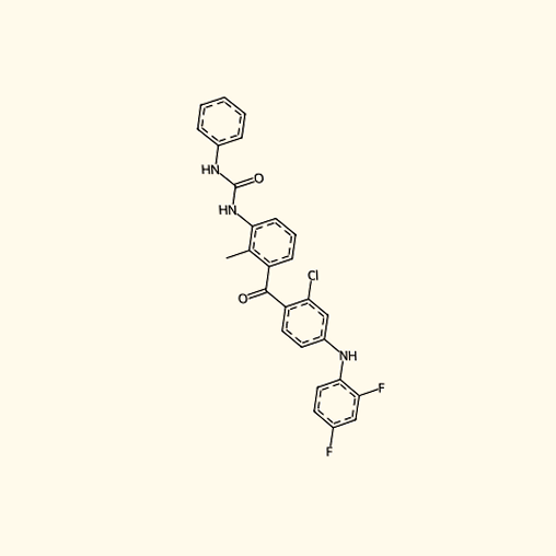 Cc1c(NC(=O)Nc2ccccc2)cccc1C(=O)c1ccc(Nc2ccc(F)cc2F)cc1Cl